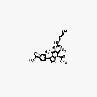 CC(=O)c1c(C)c(NC(=O)NCCCO)c(C)c2c1OCC2c1ccc(C(C)C)cc1